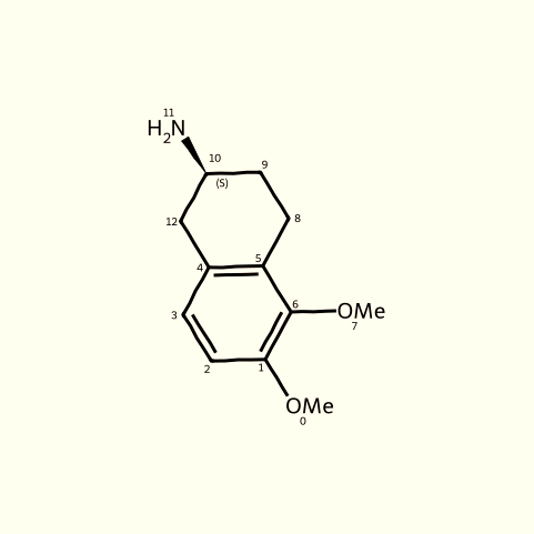 COc1ccc2c(c1OC)CC[C@H](N)C2